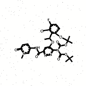 CC(Oc1cc(C(=O)Nc2ccc(=O)n(C)c2)nnc1N(C(=O)OC(C)(C)C)C(=O)OC(C)(C)C)c1c(Cl)ccc(F)c1Cl